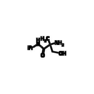 CC(C)NC(=O)C(C)(N)CO